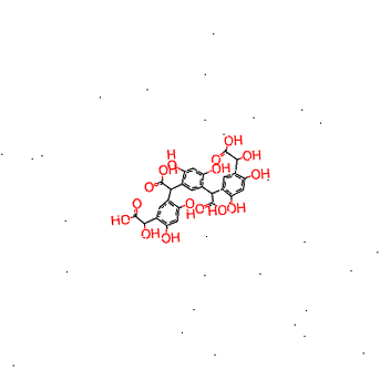 O=C(O)C(O)c1cc(C(C(=O)O)c2cc(C(C(=O)O)c3cc(C(O)C(=O)O)c(O)cc3O)c(O)cc2O)c(O)cc1O